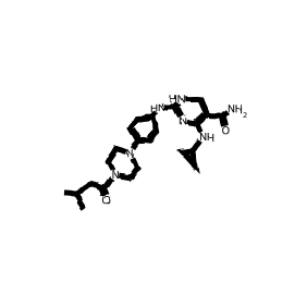 CC(C)CC(=O)N1CCN(c2ccc(NC3=NC(NC4CC4)=C(C(N)=O)CN3)cc2)CC1